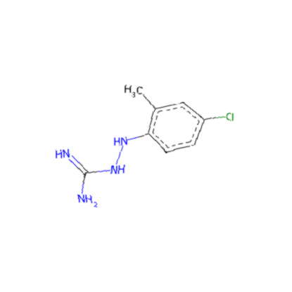 Cc1cc(Cl)ccc1NNC(=N)N